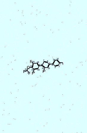 Cc1ccc(-c2ccc(-c3cc(F)c(OC(F)F)c(F)c3)c(F)c2)cc1